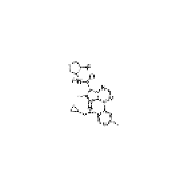 Cc1ccc(OCC2CC2)c(-c2ncnc3c(C(=O)NC4CCCC4F)c(C)[nH]c23)c1